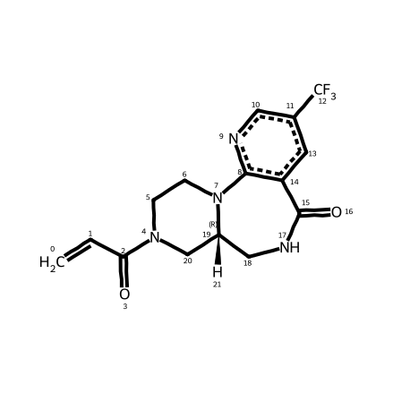 C=CC(=O)N1CCN2c3ncc(C(F)(F)F)cc3C(=O)NC[C@@H]2C1